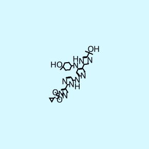 CC1(O)CCC(Nc2cc(Nc3ccnc(-c4cnn(S(=O)(=O)C5CC5)c4)n3)ncc2-c2cnc(C(C)(C)O)cn2)CC1